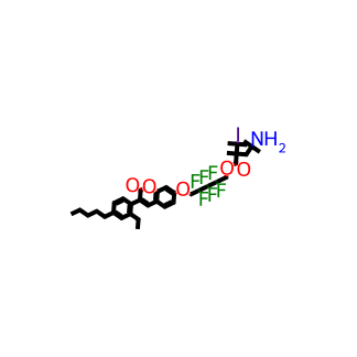 CCCCCc1ccc(-c2cc3ccc(OCC(F)(F)C(F)(F)C(F)(F)COC(=O)C(C)(CC(C)(C)N)C(C)(C)I)cc3oc2=O)c(CC)c1